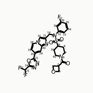 O=C(C1COC1)N1CCC(S(=O)(=O)N(Cc2cn3ccc(-c4nnc(C(F)F)o4)cc3n2)c2cccc(F)c2)CC1